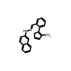 CC1=C(c2ccccc2C=NNc2ccc3ccccc3c2)CC=C1